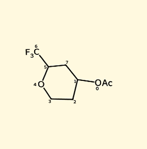 CC(=O)OC1CCOC(C(F)(F)F)C1